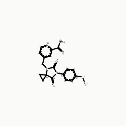 CNC(=O)c1cc(CN2C(=O)N(c3ccc(SC(F)(F)F)cc3)C(=O)C23CC3)ccn1